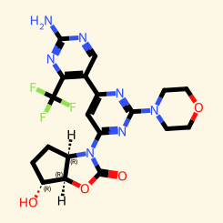 Nc1ncc(-c2cc(N3C(=O)O[C@H]4[C@H](O)CC[C@H]43)nc(N3CCOCC3)n2)c(C(F)(F)F)n1